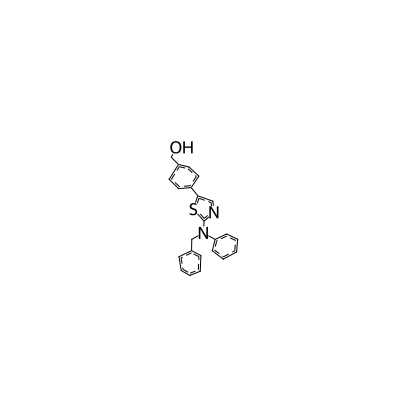 OCc1ccc(-c2cnc(N(Cc3ccccc3)c3ccccc3)s2)cc1